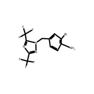 Nc1ccc(Cn2nc(C(F)(F)F)nc2C(F)(F)F)cc1Br